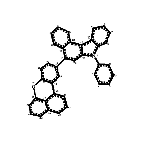 c1ccc(-n2c3ccccc3c3c4ccccc4c(-c4ccc5c(c4)-c4cccc6cccc(c46)O5)cc32)cc1